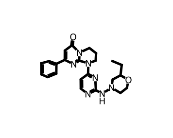 CCC1CN(Nc2nccc(N3CCCn4c3nc(-c3ccccc3)cc4=O)n2)CCO1